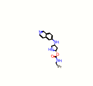 CC(C)CNC(=O)O[C@H]1C[C@H](Nc2ccc3cnccc3c2)CN1